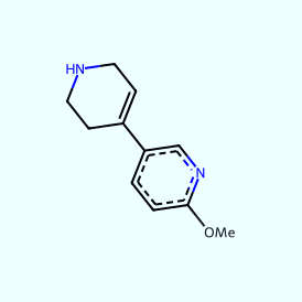 COc1ccc(C2=CCNCC2)cn1